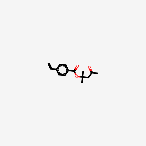 C=Cc1ccc(C(=O)OC(C)(C)CC(C)=O)cc1